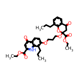 CCCc1cccc2c1OC(OCCCOc1ccc3c(=O)cc(C(=O)OCC)[nH]c3c1CCC)(C(=O)OCC)CC2=O